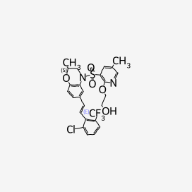 Cc1cnc(OCCO)c(S(=O)(=O)N2C[C@H](C)Oc3ccc(/C=C/c4c(Cl)cccc4C(F)(F)F)cc32)c1